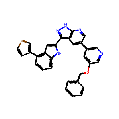 c1ccc(COc2cncc(-c3cnc4[nH]nc(-c5cc6c(-c7ccsc7)cccc6[nH]5)c4c3)c2)cc1